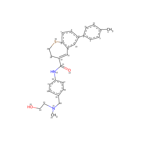 Cc1ccc(-c2ccc3c(c2)C=C(C(=O)Nc2ccc(CN(C)CCO)cc2)CCS3)cc1